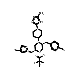 Nc1nnc(N2CCC(N3C[C@H](Cn4cc(Cl)cn4)OC[C@@H]3Cc3ccc(Cl)cc3)CC2)[nH]1.O=C(O)C(F)(F)F